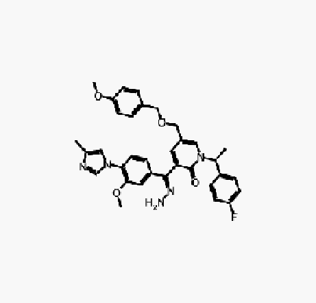 COc1ccc(COCc2cc(C(=NN)c3ccc(-n4cnc(C)c4)c(OC)c3)c(=O)n([C@@H](C)c3ccc(F)cc3)c2)cc1